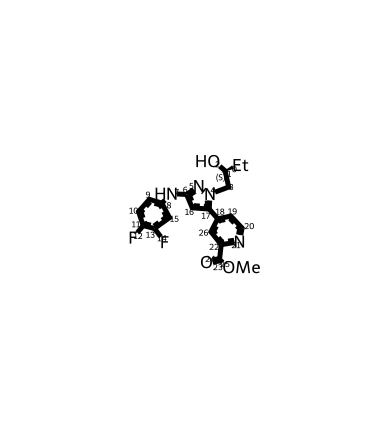 CC[C@H](O)Cn1nc(Nc2ccc(F)c(F)c2)cc1-c1ccnc(C(=O)OC)c1